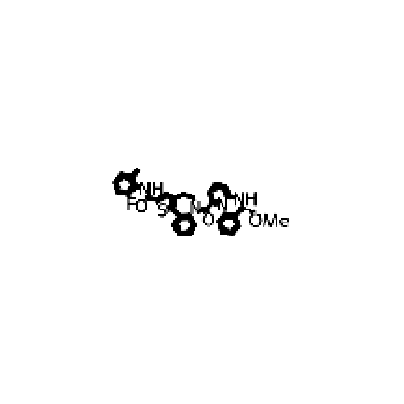 COC[C@@H](Nc1cccc(C(=O)N2CCc3cc(C(=O)Nc4c(C)cccc4F)sc3-c3ccccc32)n1)c1ccccc1